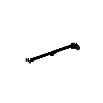 CCCCCCCCCCCCCCCCCCCCCCCCCCCCCCCCCCCCCCCCCCCCCCCCCC[N+](C)(C)C.[Br-]